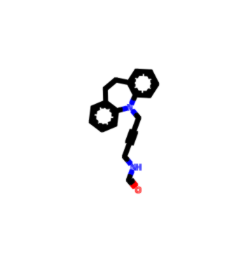 O=CNCC#CCN1c2ccccc2CCc2ccccc21